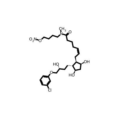 CN(CCCCO[N+](=O)[O-])C(=O)CCC/C=C\C[C@@H]1[C@@H](CC[C@@H](O)COc2cccc(Cl)c2)[C@H](O)C[C@@H]1O